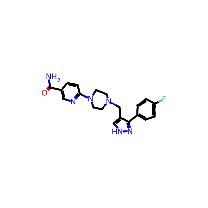 NC(=O)c1ccc(N2CCN(Cc3c[nH]nc3-c3ccc(F)cc3)CC2)nc1